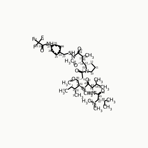 CC[C@H](C)[C@@H]([C@@H](CC(=O)N1CCC[C@H]1[C@H](OC)[C@@H](C)C(=O)NSCc1ccc(NC(=O)C(F)(F)F)cc1)OC)N(C)C(=O)[C@@H](NC(=O)[C@H](C(C)C)N(C)C)C(C)C